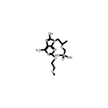 COCCOc1nc(N)c2nc(O)n(CC(C)OCP(=O)(O)O)c2n1